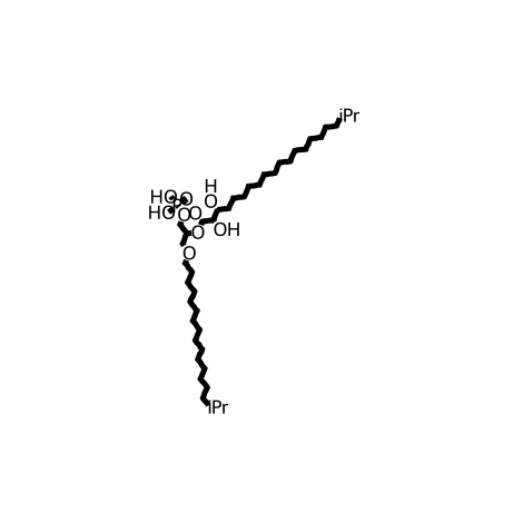 CC(C)CCCCCCCCCCCCCCCOCC(COP(=O)(O)O)OC(=O)C(O)C(O)CCCCCCCCCCCCCCCC(C)C